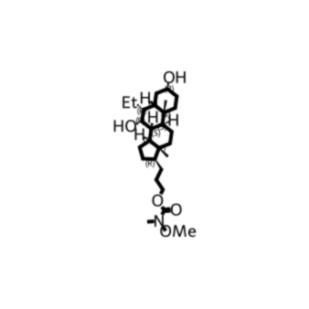 CC[C@H]1[C@@H](O)[C@@H]2[C@H](CC[C@]3(C)[C@@H](CCCOC(=O)N(C)OC)CC[C@@H]23)[C@@]2(C)CC[C@@H](O)C[C@@H]12